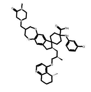 C[C@@H](COc1ccnc2c1[C@H](C)CCC2)C[C@H]1Cc2cc3c(cc2C12CCC(Nc1cccc(Cl)c1)(C(=O)O)CC2)OCC(CN1CCN(C)C(=O)C1)CO3